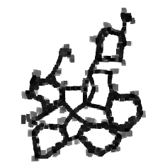 Cc1ccc(CCC23c4ccccc4CCN2c2c(C)nnc(C)c2C32c3ccccc3-c3ccccc32)cc1